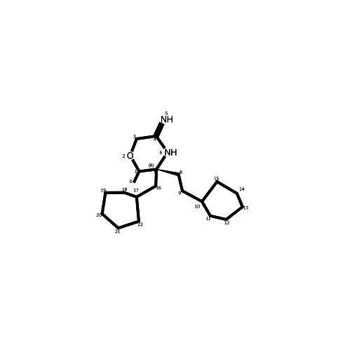 CC1OCC(=N)N[C@]1(CCC1CCCCC1)CC1CCCCC1